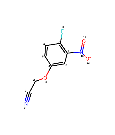 N#CCOc1ccc(F)c([N+](=O)[O-])c1